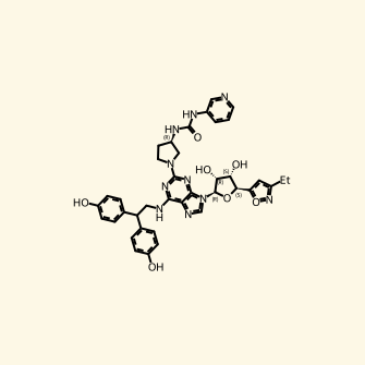 CCc1cc([C@H]2O[C@@H](n3cnc4c(NCC(c5ccc(O)cc5)c5ccc(O)cc5)nc(N5CC[C@@H](NC(=O)Nc6cccnc6)C5)nc43)[C@H](O)[C@@H]2O)on1